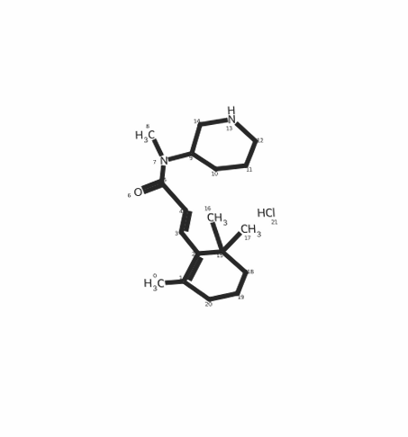 CC1=C(C=CC(=O)N(C)C2CCCNC2)C(C)(C)CCC1.Cl